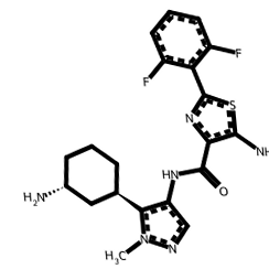 Cn1ncc(NC(=O)c2nc(-c3c(F)cccc3F)sc2N)c1[C@@H]1CCC[C@@H](N)C1